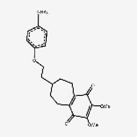 COC1=C(OC)C(=O)C2=C(CCC(CCOc3ccc(NC(C)=O)cc3)CC2)C1=O